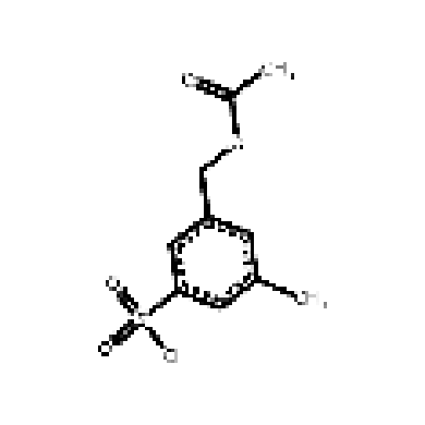 CC(=O)OCc1cc(C)cc(S(=O)(=O)Cl)c1